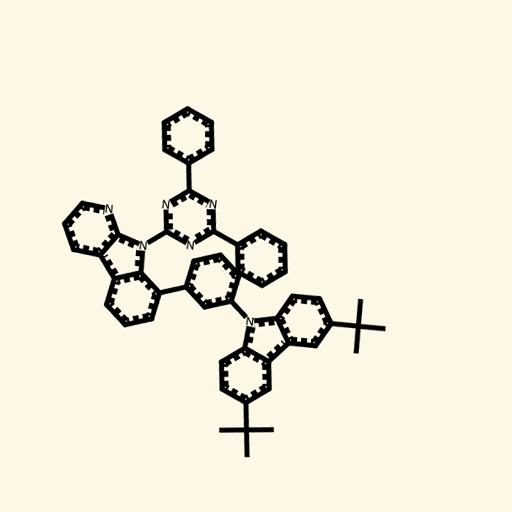 CC(C)(C)c1ccc2c(c1)c1cc(C(C)(C)C)ccc1n2-c1cccc(-c2cccc3c4cccnc4n(-c4nc(-c5ccccc5)nc(-c5ccccc5)n4)c23)c1